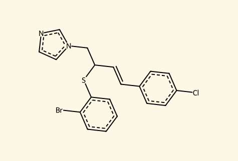 Clc1ccc(C=CC(Cn2ccnc2)Sc2ccccc2Br)cc1